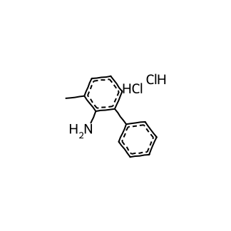 Cc1cccc(-c2ccccc2)c1N.Cl.Cl